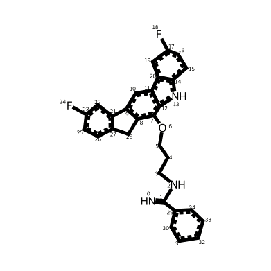 N=C(NCCCOc1c2c(cc3c1[nH]c1ccc(F)cc13)-c1cc(F)ccc1C2)c1ccccc1